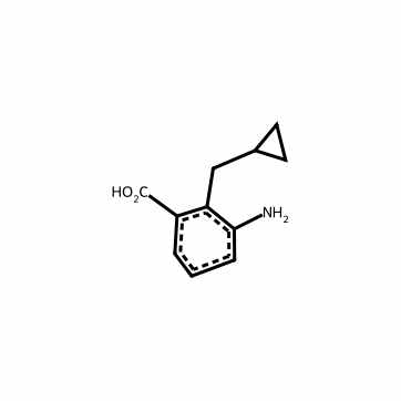 Nc1cccc(C(=O)O)c1CC1CC1